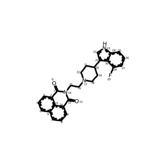 O=C1c2cccc3cccc(c23)C(=O)N1CCN1CCC(c2c[nH]c3cccc(F)c23)CC1